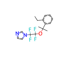 CCc1ccccc1C(C)(C)OC(F)(F)C(F)(F)n1ccnc1